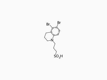 O=S(=O)(O)CCCN1CCCc2c1ccc(Br)c2Br